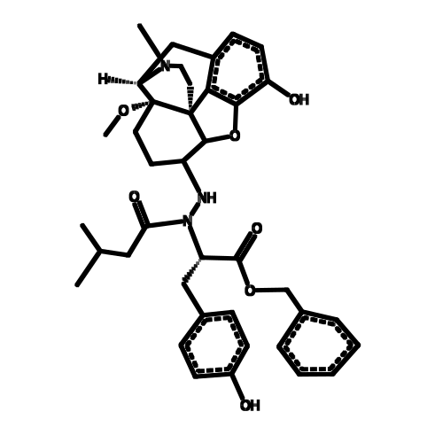 CO[C@@]12CCC(NN(C(=O)CC(C)C)[C@@H](Cc3ccc(O)cc3)C(=O)OCc3ccccc3)C3Oc4c(O)ccc5c4[C@@]31CCN(C)[C@@H]2C5